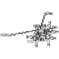 CCCCCCCCCCCCCCCCCCCCCCCCC(O)C(=O)N[C@@H](COP(=O)(O)O[C@H]1C(O)C(O)C(O)[C@@H](O)C1O[C@H]1O[C@H](COP(=O)(O)OC2C(O)C(O)C(O)[C@@H](O)C2O)[C@@H](O)C(O)C1O)[C@H](O)[C@H](O)CCCCCCCCCCCCCCCC